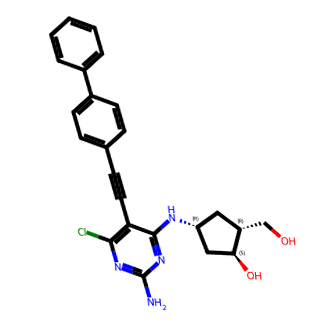 Nc1nc(Cl)c(C#Cc2ccc(-c3ccccc3)cc2)c(N[C@@H]2C[C@H](CO)[C@@H](O)C2)n1